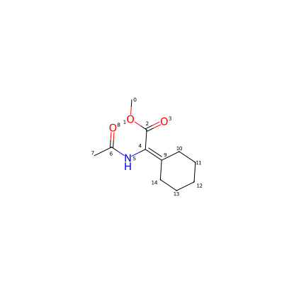 COC(=O)C(NC(C)=O)=C1CCCCC1